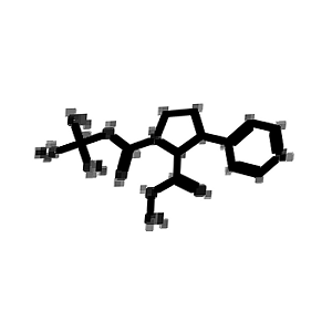 COC(=O)C1C(c2ccncc2)CCN1C(=O)OC(C)(C)C